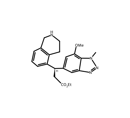 CCOC(=O)C[C@H](c1cc(OC)c2c(c1)nnn2C)c1cccc2c1CCNC2